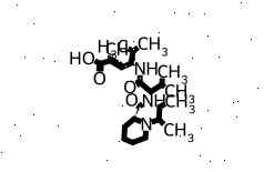 CCC(C)N1CCCC[C@@H]1C(=O)N[C@H](C(=O)N[C@H](/C=C(\C)C(=O)O)C(C)C)C(C)C